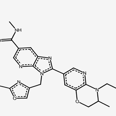 CCN1c2ncc(-c3nc4cc(C(=O)NC)cnc4n3Cc3coc(C)n3)cc2OCC1C